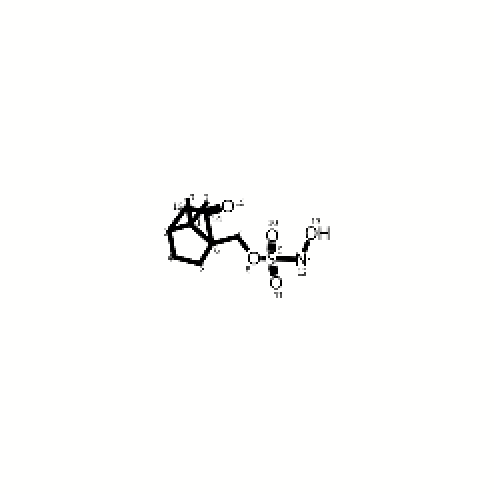 CC1(C)C2CCC1(COS(=O)(=O)[N]O)C(=O)C2